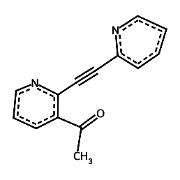 CC(=O)c1cccnc1C#Cc1ccccn1